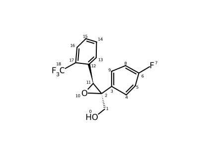 OC[C@]1(c2ccc(F)cc2)O[C@H]1c1ccccc1C(F)(F)F